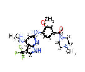 CNc1cc(Nc2ccc(C(=O)N3CCN(C)CC3)cc2OC)nc2[nH]cc(C(F)(F)F)c12